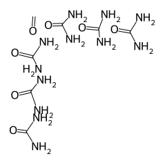 C=O.NC(N)=O.NC(N)=O.NC(N)=O.NC(N)=O.NC(N)=O.NC(N)=O